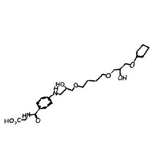 O=C(O)CNC(=O)c1ccc(NCC(O)COCCCCOCC(O)COC2CCCC2)cc1